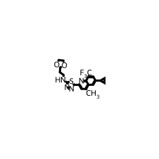 Cc1cc(-c2nnc(NCCC3OCCO3)s2)nc2c(C(F)(F)F)cc(C3CC3)cc12